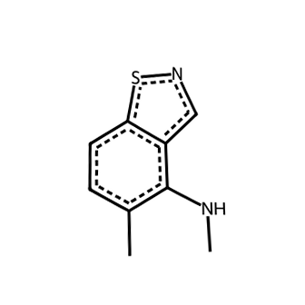 CNc1c(C)ccc2sncc12